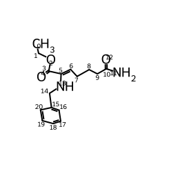 CCOC(=O)/C(=C/CCCC(N)=O)NCc1ccccc1